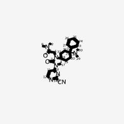 CN(C)C(=O)CN1C(=O)N(c2ccnc(C#N)n2)C[C@]12CC[C@](c1ccccc1)(N(C)C)CC2